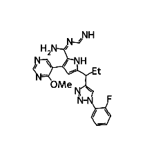 CCC(c1cn(-c2ccccc2F)nn1)c1cc(-c2cncnc2OC)c(/C(N)=N\C=N)[nH]1